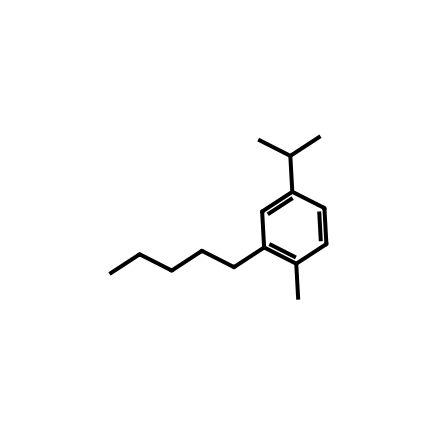 CCCCCc1cc(C(C)C)ccc1C